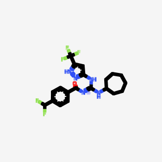 O=C(/N=C(\Nc1cc(C(F)(F)F)[nH]n1)NC1CCCCCC1)c1ccc(C(F)F)cc1